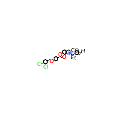 CCC(NC(Cc1ccc2c(c1)OCC(c1ccc(OCc3ccc(Cl)c(Cl)c3)cc1)O2)C(=O)O)c1ccccc1